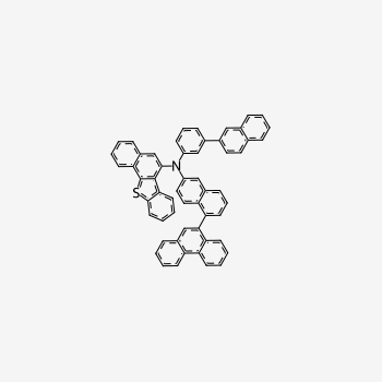 c1cc(-c2ccc3ccccc3c2)cc(N(c2ccc3c(-c4cc5ccccc5c5ccccc45)cccc3c2)c2cc3ccccc3c3sc4ccccc4c23)c1